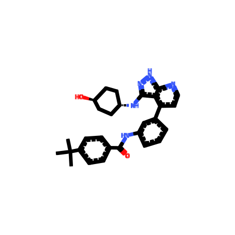 CC(C)(C)c1ccc(C(=O)Nc2cccc(-c3ccnc4[nH]nc(N[C@H]5CC[C@H](O)CC5)c34)c2)cc1